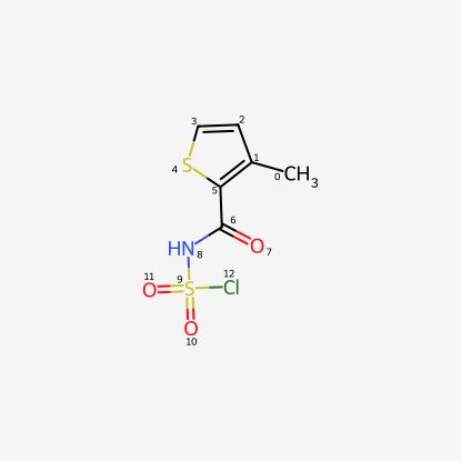 Cc1ccsc1C(=O)NS(=O)(=O)Cl